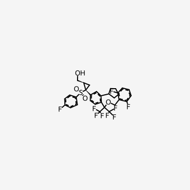 O=S(=O)(c1ccc(F)cc1)[C@@]1(c2ccc(C(OCc3c(F)cccc3F)(C(F)(F)F)C(F)(F)F)c(C3CCCC3)c2)C[C@@H]1CO